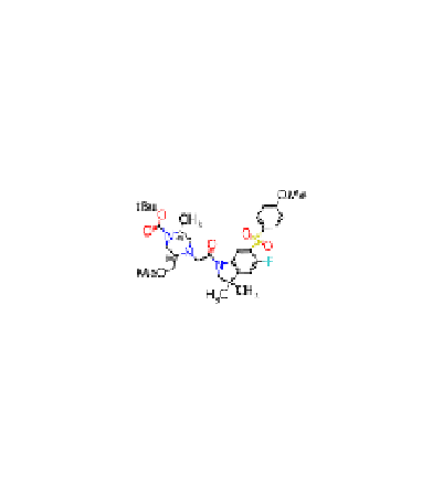 COC[C@H]1CN(C(=O)OC(C)(C)C)[C@H](C)CN1CC(=O)N1CC(C)(C)c2cc(F)c(S(=O)(=O)c3ccc(OC)cc3)cc21